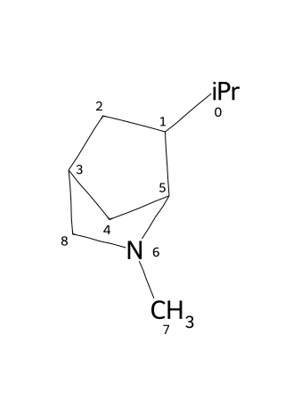 CC(C)C1CC2CC1N(C)C2